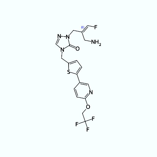 NC/C(=C\F)Cn1ncn(Cc2ccc(-c3ccc(OCC(F)(F)F)nc3)s2)c1=O